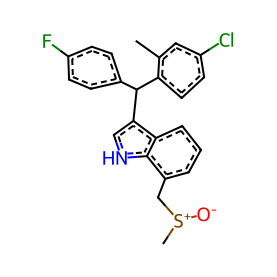 Cc1cc(Cl)ccc1C(c1ccc(F)cc1)c1c[nH]c2c(C[S+](C)[O-])cccc12